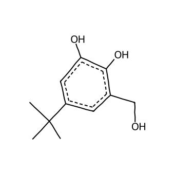 CC(C)(C)c1cc(O)c(O)c(CO)c1